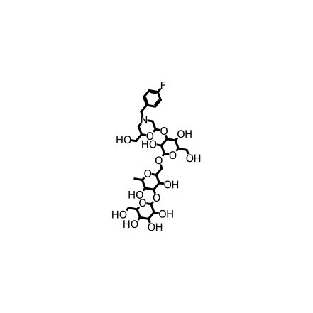 CC1OC(COC2OC(CO)C(O)C(OC3CN(Cc4ccc(F)cc4)CC(CO)O3)C2O)C(O)C(OC2OC(CO)C(O)C(O)C2O)C1O